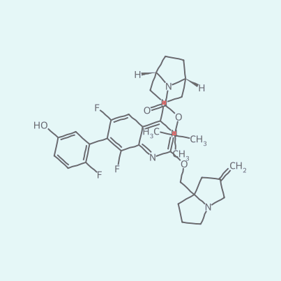 C=C1CN2CCCC2(COc2nc(N3C[C@H]4CC[C@@H](C3)N4C(=O)OC(C)(C)C)c3cc(F)c(-c4cc(O)ccc4F)c(F)c3n2)C1